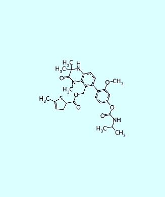 COc1cc(OC(=O)NC(C)C)ccc1-c1ccc2c(c1COC(=O)C1CC=C(C)S1)N(C)C(=O)C(C)(C)N2